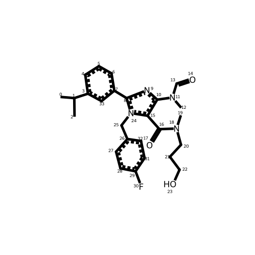 CC(C)c1cccc(-c2nc(N(C)C=O)c(C(=O)N(C)CCCO)n2Cc2ccc(F)cc2)c1